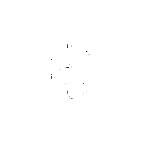 O=C(O)n1c(I)nc2ccccc21